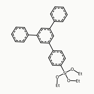 CCO[Si](OCC)(OCC)c1ccc(-c2cc(-c3ccccc3)cc(-c3ccccc3)c2)cc1